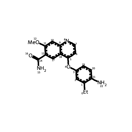 CCc1cc(Oc2ccnc3cc(OC)c(C(N)=O)cc23)ccc1N